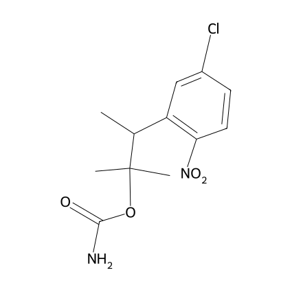 CC(c1cc(Cl)ccc1[N+](=O)[O-])C(C)(C)OC(N)=O